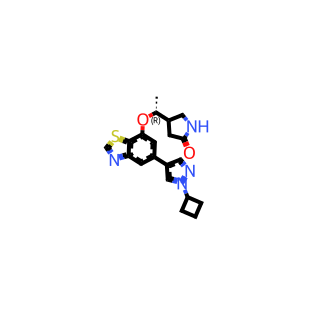 C[C@@H](Oc1cc(-c2cnn(C3CCC3)c2)cc2ncsc12)C1CNC(=O)C1